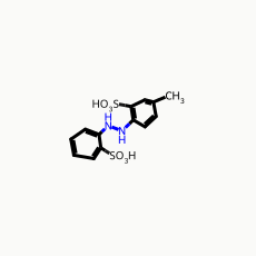 Cc1ccc(NNc2ccccc2S(=O)(=O)O)c(S(=O)(=O)O)c1